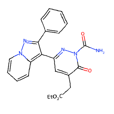 CCOC(=O)Cc1cc(-c2c(-c3ccccc3)nn3ccccc23)nn(C(N)=O)c1=O